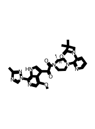 COc1cnc(-n2cnc(C)n2)c2[nH]cc(C(=O)C(=O)N3CCN(c4ncccc4N4CC(C)(C)C4=O)C[C@H]3C)c12